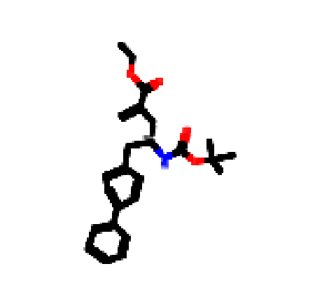 C=C(C[C@@H](Cc1ccc(-c2ccccc2)cc1)NC(=O)OC(C)(C)C)C(=O)OCC